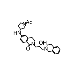 CC(=O)N1CCC(Nc2ccc3c(c2)CCN(C[C@H](O)CN2CCc4ccccc4C2)C3=O)C1